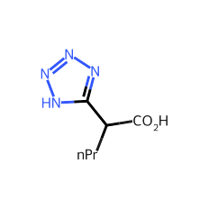 CCCC(C(=O)O)c1nnn[nH]1